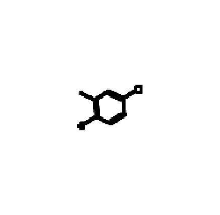 Cc1cc(Cl)ccc1[S]